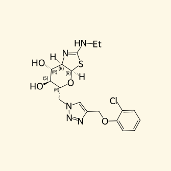 CCNC1=N[C@@H]2[C@@H](O)[C@H](O)[C@@H](Cn3cc(COc4ccccc4Cl)nn3)O[C@@H]2S1